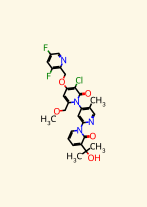 COCc1cc(OCc2ncc(F)cc2F)c(Cl)c(=O)n1-c1cc(-n2cccc(C(C)(C)O)c2=O)ncc1C